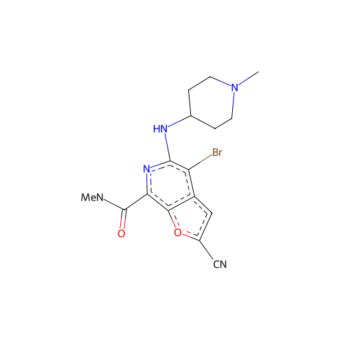 CNC(=O)c1nc(NC2CCN(C)CC2)c(Br)c2cc(C#N)oc12